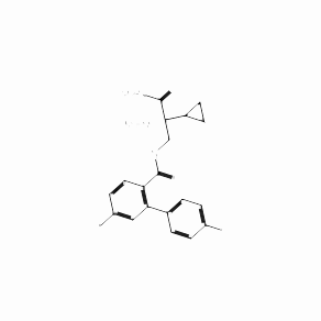 CNC(=O)[C@@](CNC(=O)c1ccc(Cl)cc1-c1ccc(Cl)cc1)(NC)C1CC1